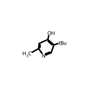 Cc1cc(O)c(C(C)(C)C)cn1